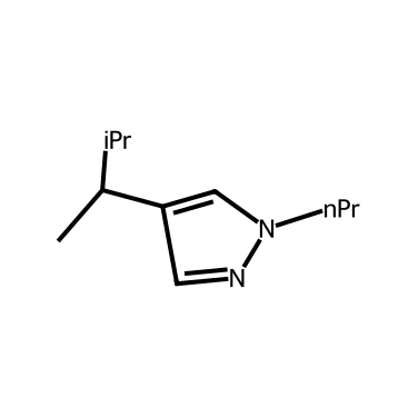 CCCn1cc(C(C)C(C)C)cn1